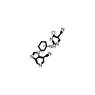 N#Cc1cnc(N[C@@H]2CCC[C@H](n3cnc4cncc(C#N)c43)C2)nc1Cl